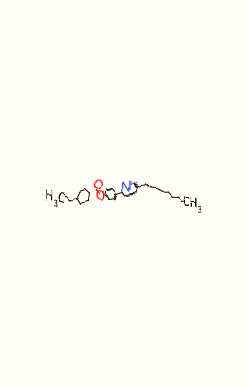 CCCCCCCCCc1ccc(-c2ccc(OC(=O)[C@H]3CC[C@H](CCC)CC3)cc2)nc1